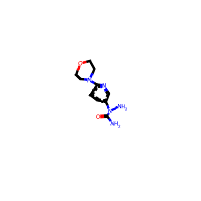 NC(=O)N(N)c1ccc(N2CCOCC2)nc1